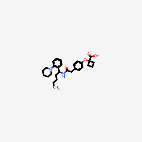 CCCCC(NC(=O)Cc1ccc(OC2(C(=O)O)CCC2)cc1)c1ccccc1N1CCCCC1